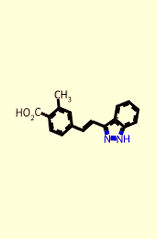 Cc1cc(C=Cc2n[nH]c3ccccc23)ccc1C(=O)O